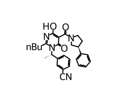 CCCCc1nc(O)c(C(=O)N2CC[C@@H](c3ccccc3)C2)c(=O)n1[C@@H](C)c1cccc(C#N)c1